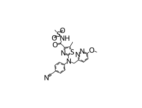 COc1ccc(CN(c2ccc(C#N)cc2)c2nc(C(=O)NS(C)(=O)=O)c(C)s2)nn1